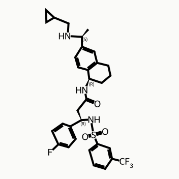 C[C@H](NCC1CC1)c1ccc2c(c1)CCC[C@H]2NC(=O)C[C@@H](NS(=O)(=O)c1cccc(C(F)(F)F)c1)c1ccc(F)cc1